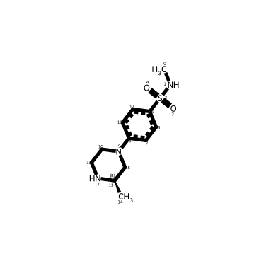 CNS(=O)(=O)c1ccc(N2CCN[C@H](C)C2)cc1